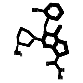 CCNC(=O)c1csc2c(=O)n(Cc3ccccc3C#N)c(N3CCC[C@@H](N)C3)nc12